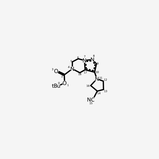 CC(C)(C)OC(=O)N1CCn2ncc(N3CCC(C#N)C3)c2C1